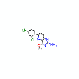 CCOc1nc(N)nc2ccc(-c3ccc(Cl)cc3Cl)nc12